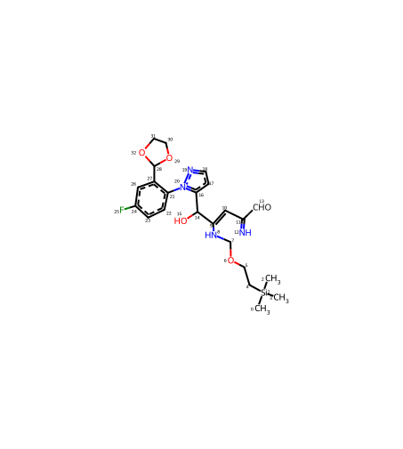 C[Si](C)(C)CCOCN/C(=C\C(=N)C=O)C(O)c1ccnn1-c1ccc(F)cc1C1OCCO1